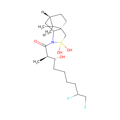 C[C@@H](C(=O)N1[C@H]2C[C@@H]3CC[C@@]2(CS1(O)O)C3(C)C)[C@H](O)CCCCC(F)CF